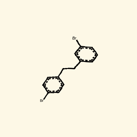 Brc1ccc([CH]Cc2cccc(Br)c2)cc1